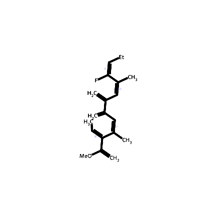 C=C(/C=C(C)\C(F)=C/CC)C(=C)/C=C(C)\C(=C/C)C(=C)OC